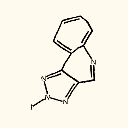 In1nc2cnc3ccccc3c2n1